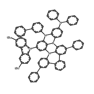 CC(C)(C)c1ccc2c(c1)c1cc(C(C)(C)C)ccc1n2-c1cc2c3c(c1)N1c4ccc(-c5ccccc5)cc4-c4ccccc4-c4cc(-c5ccccc5)cc(c41)B3c1ccc(N(c3ccccc3)c3ccccc3)cc1N2c1cccc(-c2ccccc2)c1